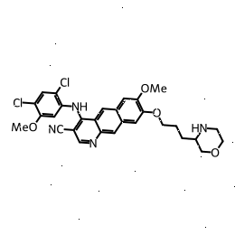 COc1cc(Nc2c(C#N)cnc3cc4cc(OCCCC5COCCN5)c(OC)cc4cc23)c(Cl)cc1Cl